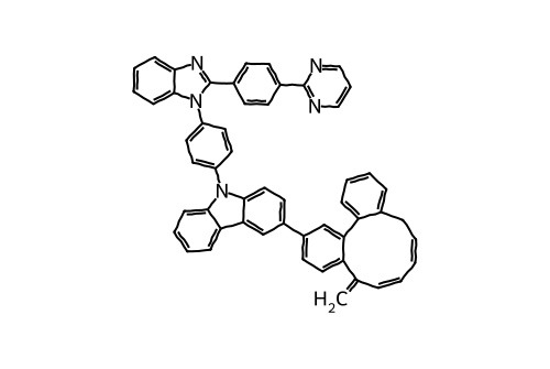 C=C1/C=C\C=C/Cc2ccccc2-c2cc(-c3ccc4c(c3)c3ccccc3n4-c3ccc(-n4c(-c5ccc(-c6ncccn6)cc5)nc5ccccc54)cc3)ccc21